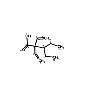 C=CC(C=C)(C(=O)O)N(CC)CC